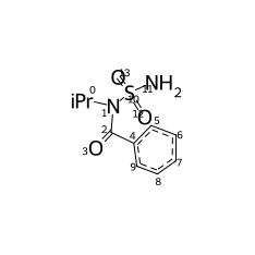 CC(C)N(C(=O)c1ccccc1)S(N)(=O)=O